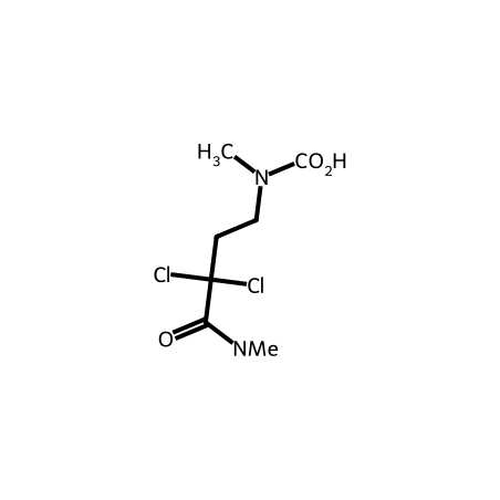 CNC(=O)C(Cl)(Cl)CCN(C)C(=O)O